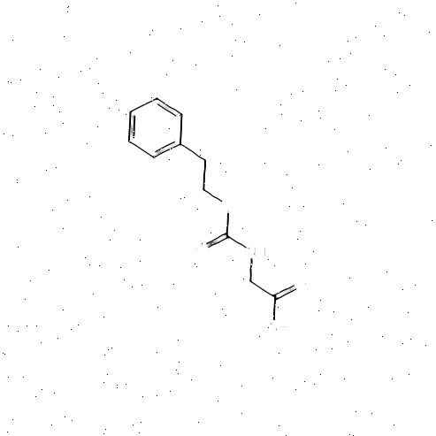 NC(=O)CNC(=O)OCCc1ccccc1